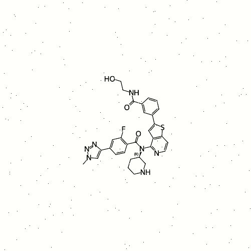 Cn1cc(-c2ccc(C(=O)N(c3nccc4sc(-c5cccc(C(=O)NCCO)c5)cc34)[C@@H]3CCCNC3)c(F)c2)nn1